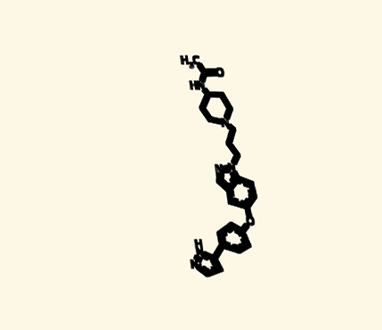 CC(=O)NC1CCN(CCCn2ncc3cc(Oc4ccc(-c5ccn[nH]5)cc4)ccc32)CC1